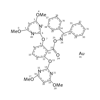 COc1cc(OC)nc(Oc2cccc(Oc3nc(OC)cc(OC)n3)c2C(=O)ON=C(c2ccccc2)c2ccccc2)n1.[Au]